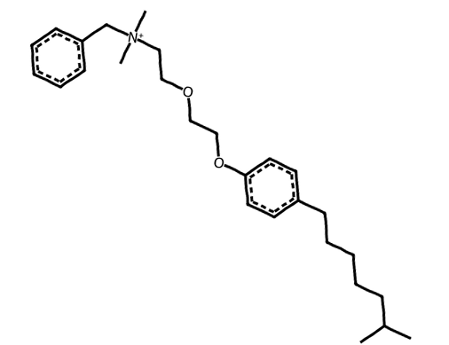 CC(C)CCCCCc1ccc(OCCOCC[N+](C)(C)Cc2ccccc2)cc1